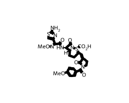 CON=C(C(=O)N[C@H]1C(=O)N2[C@@H]1CCC(C=C1CCN(C(=O)c3ccc(OC)cc3)C1=O)=S2C(=O)O)c1csc(N)n1